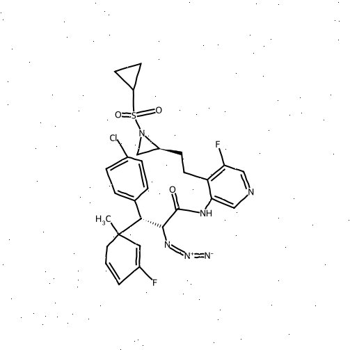 CC1([C@H](c2ccc(Cl)cc2)C(N=[N+]=[N-])C(=O)Nc2cncc(F)c2CC[C@H]2CN2S(=O)(=O)C2CC2)C=C(F)C=CC1